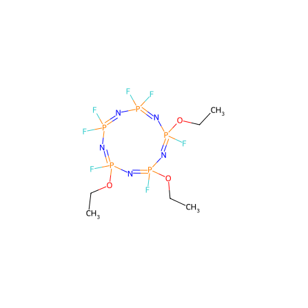 CCOP1(F)=NP(F)(F)=NP(F)(F)=NP(F)(OCC)=NP(F)(OCC)=N1